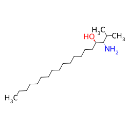 CCCCCCCCCCCCCCC[C@@H](O)[C@@H](N)C(C)C